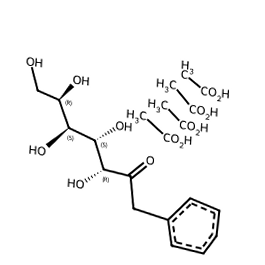 CC(=O)O.CC(=O)O.CC(=O)O.CC(=O)O.O=C(Cc1ccccc1)[C@H](O)[C@@H](O)[C@@H](O)[C@H](O)CO